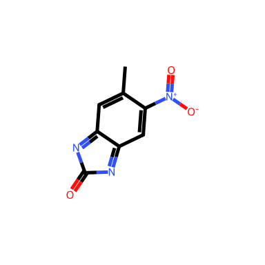 Cc1cc2c(cc1[N+](=O)[O-])=NC(=O)N=2